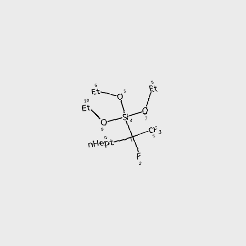 CCCCCCCC(F)(C(F)(F)F)[Si](OCC)(OCC)OCC